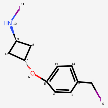 ICc1ccc(O[C@H]2C[C@H](NI)C2)cc1